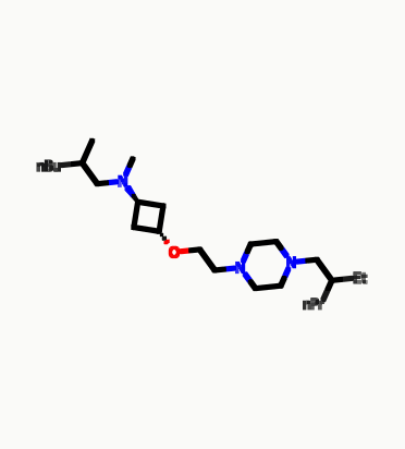 CCCCC(C)CN(C)[C@H]1C[C@H](OCCN2CCN(CC(CC)CCC)CC2)C1